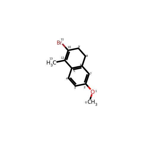 COc1ccc2c(c1)CCC(Br)=C2C